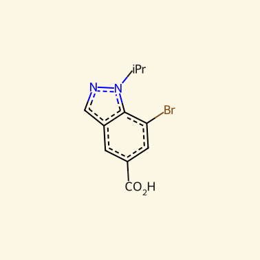 CC(C)n1ncc2cc(C(=O)O)cc(Br)c21